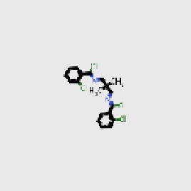 CC(C)(CN=C(Cl)c1ccccc1Cl)CN=C(Cl)c1ccccc1Cl